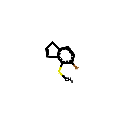 CSc1c(Br)ccc2c1C=CC2